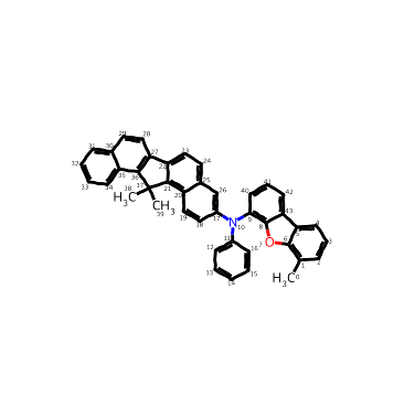 Cc1cccc2c1oc1c(N(c3ccccc3)c3ccc4c5c(ccc4c3)-c3ccc4ccccc4c3C5(C)C)cccc12